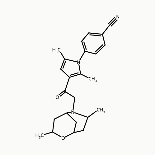 Cc1cc(C(=O)CN2C(C)CC3CC2CC(C)O3)c(C)n1-c1ccc(C#N)cc1